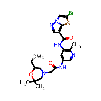 COCC1CN(CC(=O)Nc2cnc(C)c(NC(=O)c3cnn4cc(Br)sc34)c2)CC(C)(C)O1